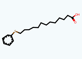 O=C(O)CCCCCCCCCCCCSc1ccccc1